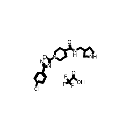 O=C(NCC1CCNC1)C1CCN(c2nc(-c3ccc(Cl)cc3)no2)CC1.O=C(O)C(F)(F)F